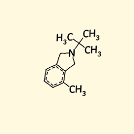 Cc1cccc2c1CN(C(C)(C)C)C2